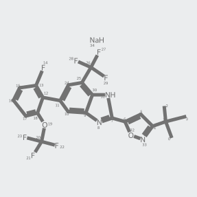 CC(C)(C)c1cc(-c2nc3cc(-c4c(F)cccc4OC(F)(F)F)cc(C(F)(F)F)c3[nH]2)on1.[NaH]